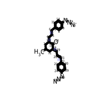 CC1C/C(=C/C=C/c2ccc(N=[N+]=[N-])cc2)C(=O)/C(=C/C=C/c2ccc(N=[N+]=[N-])cc2)C1